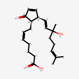 CC(C)=CCCC(C)(O)/C=C/[C@@H]1C=CC(=O)[C@@H]1C/C=C\CCCC(=O)O